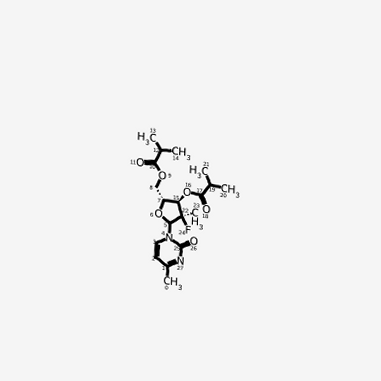 Cc1ccn(C2O[C@H](COC(=O)C(C)C)[C@@H](OC(=O)C(C)C)[C@@]2(C)F)c(=O)n1